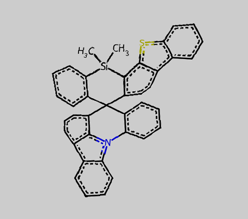 C[Si]1(C)c2ccccc2C2(c3ccccc3-n3c4ccccc4c4cccc2c43)c2ccc3c(sc4ccccc43)c21